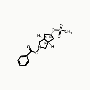 CS(=O)(=O)O[C@H]1C[C@@H]2CN(OC(=O)c3ccccc3)C[C@@H]2C1